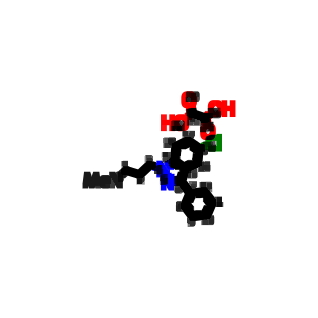 CNCCCn1nc(-c2ccccc2)c2cc(Cl)ccc21.O=C(O)C(=O)O